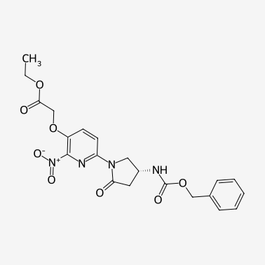 CCOC(=O)COc1ccc(N2C[C@H](NC(=O)OCc3ccccc3)CC2=O)nc1[N+](=O)[O-]